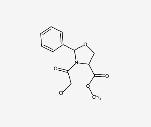 COC(=O)C1COC(c2ccccc2)N1C(=O)CCl